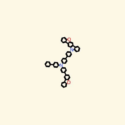 c1ccc(-c2ccc(N(c3ccc(-c4ccc(-n5c6ccccc6c6cc7oc8ccccc8c7cc65)cc4)cc3)c3ccc(-c4ccc5oc6ccccc6c5c4)cc3)cc2)cc1